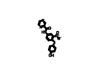 O=C(Nc1ccc(Sc2ccc(O)cc2)c([N+](=O)[O-])c1)c1cnccn1